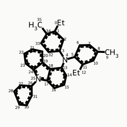 CCc1cc(N(c2ccc(C)cc2CC)c2cccc3c2c2ccccc2n3-c2ccccc2)ccc1C